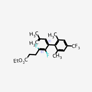 C=C(C)/C=C(\C(F)=C(/F)CCC(=O)OCC)c1c(C)cc(C(F)(F)F)cc1C